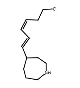 ClCC/C=C\C=C\C1CCCNCC1